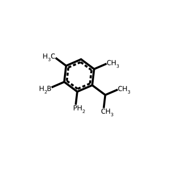 Bc1c(C)cc(C)c(C(C)C)c1P